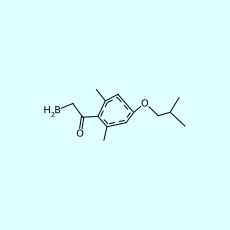 BCC(=O)c1c(C)cc(OCC(C)C)cc1C